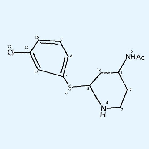 CC(=O)NC1CCNC(Sc2cccc(Cl)c2)C1